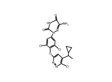 CC(c1cc(Oc2c(Cl)cc(-n3nc(N)c(=O)[nH]c3=O)cc2Cl)nnc1Cl)C1CC1